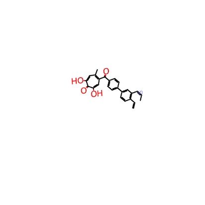 C=Cc1ccc(-c2ccc(C(=O)c3cc(O)c(=O)c(O)cc3C)cc2)cc1/C=C\C